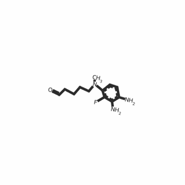 CN(CCCCC=O)c1ccc(N)c(N)c1F